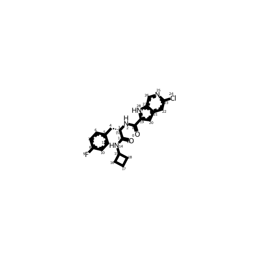 O=C(N[C@@H](Cc1ccc(F)cc1)C(=O)NC1CCC1)c1cc2cc(Cl)ncc2[nH]1